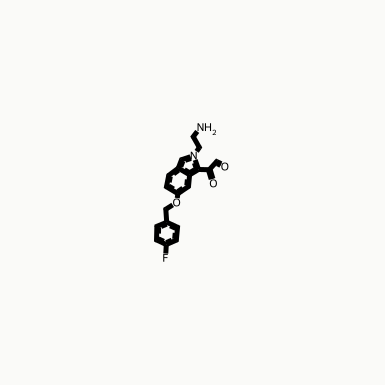 NCCn1cc2ccc(OCc3ccc(F)cc3)cc2c1C(=O)C=O